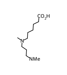 CNCCCN(C)CCCCCC(=O)O